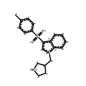 Cc1ccc(S(=O)(=O)c2cn(CC3CCNC3)c3ccccc23)cc1